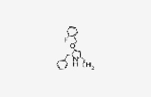 C=CC1C=C(OCc2ccccc2F)[C@H](Cc2ccccc2)N1